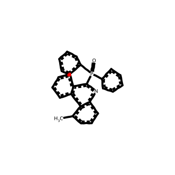 Cc1cccc2nc(P(=O)(c3ccccc3)c3ccccc3)c3ccccc3c12